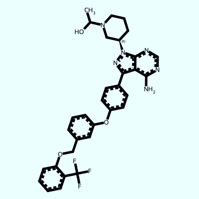 CC(O)N1CCC[C@@H](n2nc(-c3ccc(Oc4cccc(COc5ccccc5C(F)(F)F)c4)cc3)c3c(N)ncnc32)C1